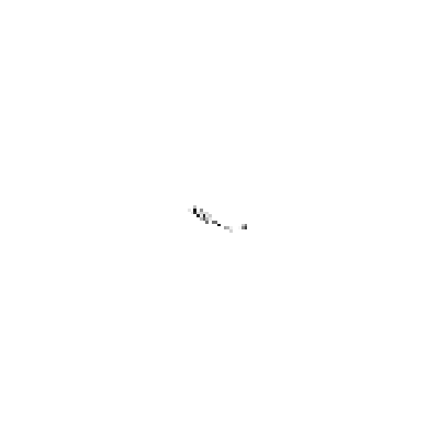 [C]#CC=C